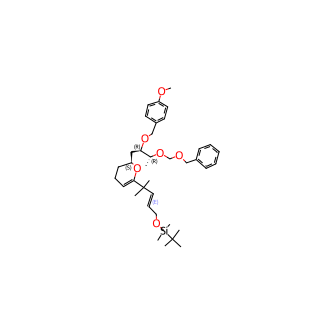 COc1ccc(CO[C@H](C[C@@H]2CCC=C(C(C)(C)/C=C/CO[Si](C)(C)C(C)(C)C)O2)[C@@H](C)OCOCc2ccccc2)cc1